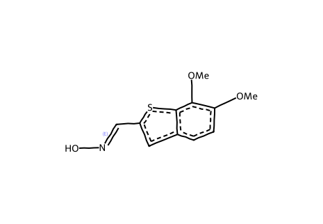 COc1ccc2cc(/C=N/O)sc2c1OC